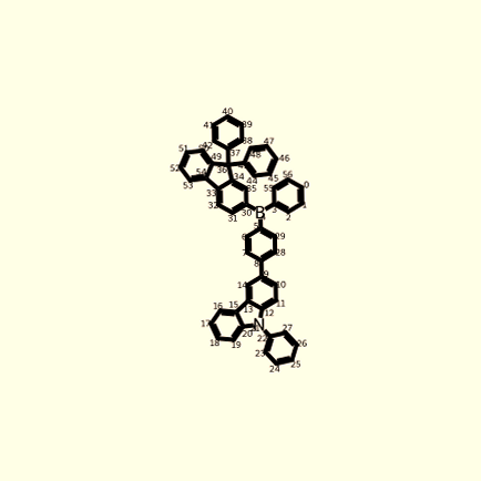 c1ccc(B(c2ccc(-c3ccc4c(c3)c3ccccc3n4-c3ccccc3)cc2)c2ccc3c(c2)C(c2ccccc2)(c2ccccc2)c2ccccc2-3)cc1